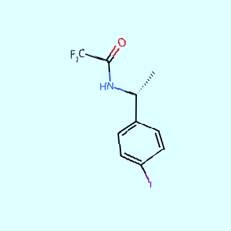 C[C@@H](NC(=O)C(F)(F)F)c1ccc(I)cc1